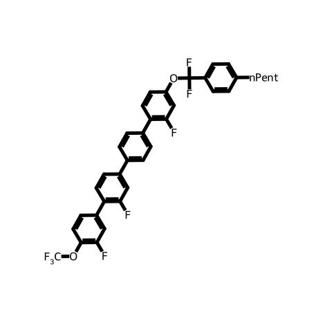 CCCCCc1ccc(C(F)(F)Oc2ccc(-c3ccc(-c4ccc(-c5ccc(OC(F)(F)F)c(F)c5)c(F)c4)cc3)c(F)c2)cc1